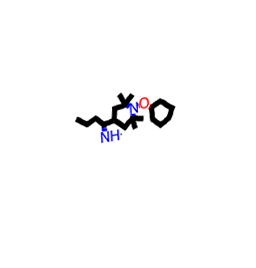 CCCC([NH])C1CC(C)(C)N(OC2CCCCC2)C(C)(C)C1